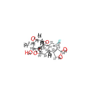 CC(C)[C@]12O[C@H]1[C@@H]1O[C@]13[C@]1(O[C@H]1C[C@H]1C4=C(C(=O)OC4)[C@H](F)C[C@@]13C)[C@@H]2O